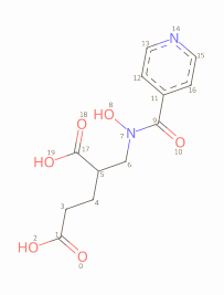 O=C(O)CCC(CN(O)C(=O)c1ccncc1)C(=O)O